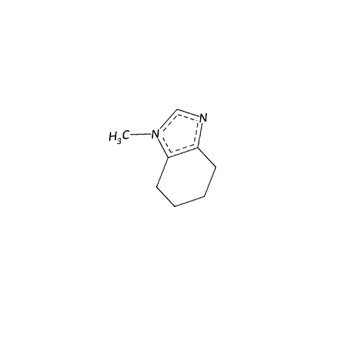 Cn1cnc2c1CCCC2